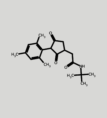 Cc1cc(C)c(C2C(=O)CC(CC(=O)NC(C)(C)C)C2=O)c(C)c1